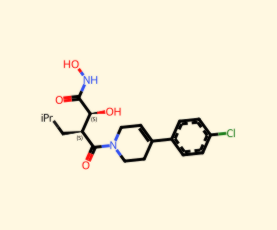 CC(C)C[C@H](C(=O)N1CC=C(c2ccc(Cl)cc2)CC1)[C@H](O)C(=O)NO